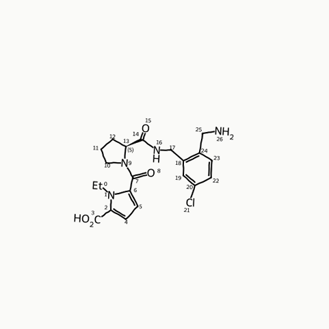 CCn1c(C(=O)O)ccc1C(=O)N1CCC[C@H]1C(=O)NCc1cc(Cl)ccc1CN